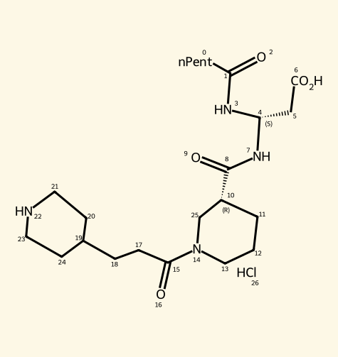 CCCCCC(=O)N[C@H](CC(=O)O)NC(=O)[C@@H]1CCCN(C(=O)CCC2CCNCC2)C1.Cl